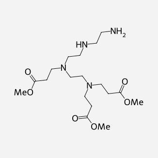 COC(=O)CCN(CCNCCN)CCN(CCC(=O)OC)CCC(=O)OC